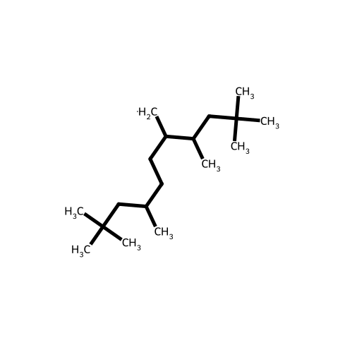 [CH2]C(CCC(C)CC(C)(C)C)C(C)CC(C)(C)C